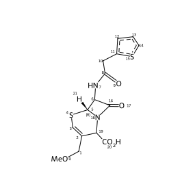 COCC1=CS[C@@H]2C(NC(=O)Cc3cccs3)C(=O)N2C1C(=O)O